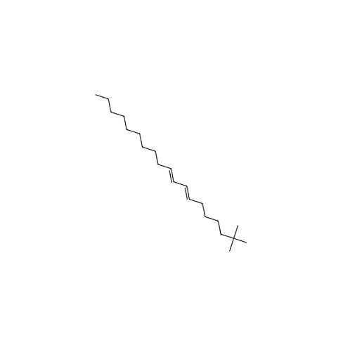 CCCCCCCCC/C=[C]/C=CCCCCC(C)(C)C